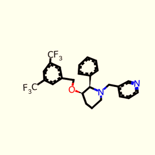 FC(F)(F)c1cc(CO[C@@H]2CCCN(Cc3cccnc3)[C@@H]2c2ccccc2)cc(C(F)(F)F)c1